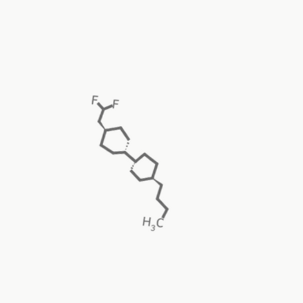 CCCC[C@H]1CC[C@H]([C@H]2CC[C@H](CC(F)F)CC2)CC1